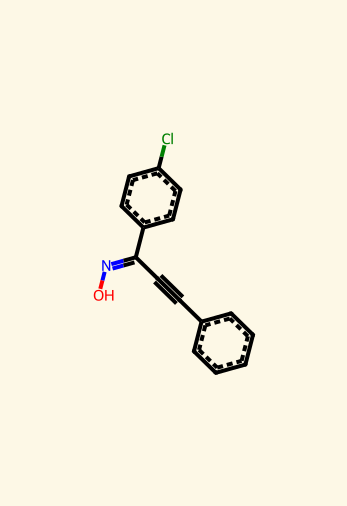 ON=C(C#Cc1ccccc1)c1ccc(Cl)cc1